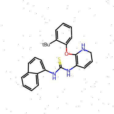 CC(C)(C)c1ccccc1OC1=C(NC(=S)Nc2cccc3ccccc23)C=CCN1